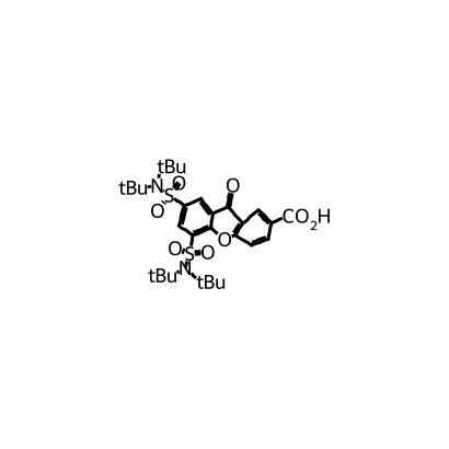 CC(C)(C)N(C(C)(C)C)S(=O)(=O)c1cc(S(=O)(=O)N(C(C)(C)C)C(C)(C)C)c2oc3ccc(C(=O)O)cc3c(=O)c2c1